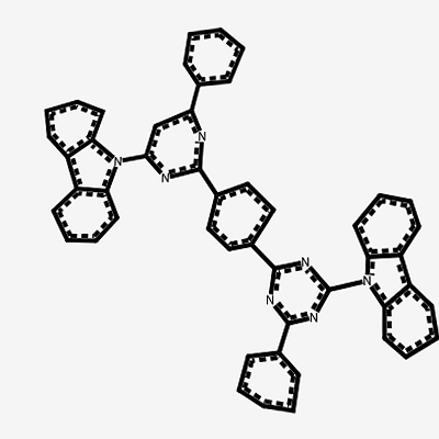 c1ccc(-c2cc(-n3c4ccccc4c4ccccc43)nc(-c3ccc(-c4nc(-c5ccccc5)nc(-n5c6ccccc6c6ccccc65)n4)cc3)n2)cc1